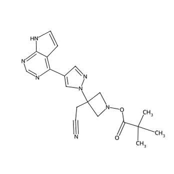 CC(C)(C)C(=O)ON1CC(CC#N)(n2cc(-c3ncnc4[nH]ccc34)cn2)C1